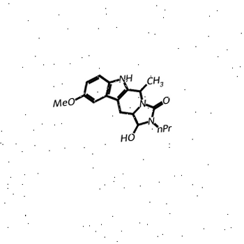 CCCN1C(=O)N2C(C)c3[nH]c4ccc(OC)cc4c3CC2C1O